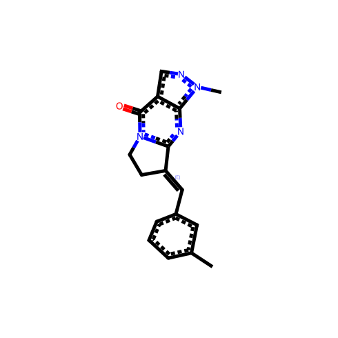 Cc1cccc(/C=C2\CCn3c2nc2c(cnn2C)c3=O)c1